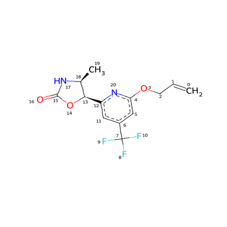 C=CCOc1cc(C(F)(F)F)cc([C@H]2OC(=O)N[C@H]2C)n1